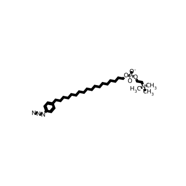 C[N+](C)(C)CCOP(=O)([O-])OCCCCCCCCCCCCCCCCCCc1ccc(N=[N+]=[N-])cc1